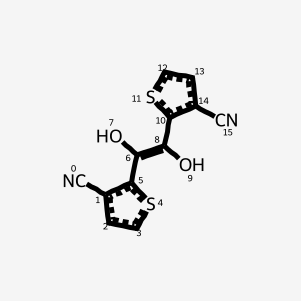 N#Cc1ccsc1/C(O)=C(\O)c1sccc1C#N